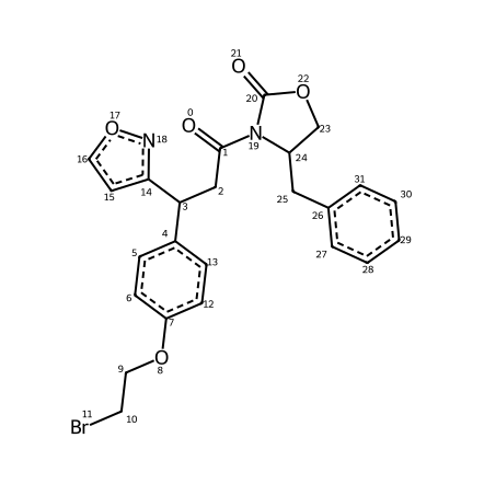 O=C(CC(c1ccc(OCCBr)cc1)c1ccon1)N1C(=O)OCC1Cc1ccccc1